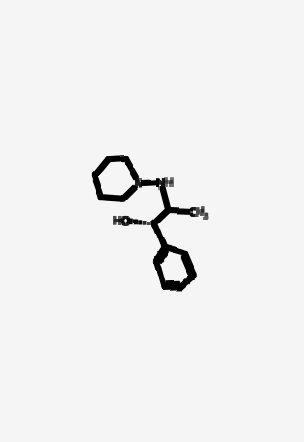 CC(NN1CCCCC1)[C@@H](O)c1ccccc1